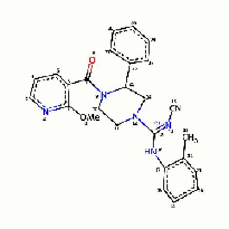 COc1ncccc1C(=O)N1CCN(/C(=N\C#N)Nc2ccccc2C)CC1c1ccccc1